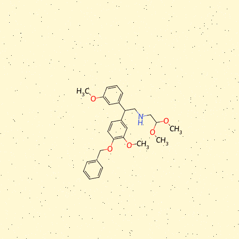 COc1cccc(C(CNCC(OC)OC)c2ccc(OCc3ccccc3)c(OC)c2)c1